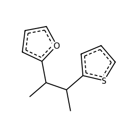 CC(c1ccco1)C(C)c1cccs1